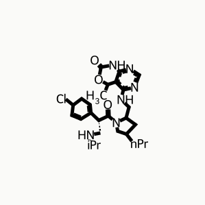 CCCC1CC(CNc2ncnc3c2C(C)OC(=O)N3)N(C(=O)[C@H](CNC(C)C)C2=CCC(Cl)C=C2)C1